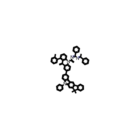 C=C1c2cc(-c3ccc4c(c3)c3cc5c(cc3n4-c3ccccc3)C(C)(C)c3ccccc3-5)ccc2N(C(=C)/N=C(\N=C(/C)c2ccccc2)c2ccccc2)c2cccc(-c3ccccc3C)c21